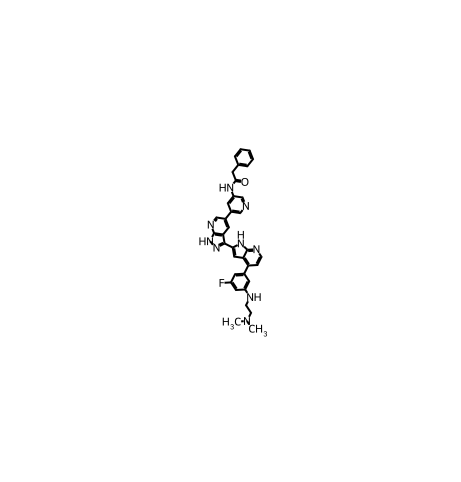 CN(C)CCNc1cc(F)cc(-c2ccnc3[nH]c(-c4n[nH]c5ncc(-c6cncc(NC(=O)Cc7ccccc7)c6)cc45)cc23)c1